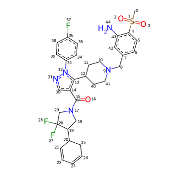 CS(=O)(=O)c1ccc(CN2CCC(c3c(C(=O)N4CC(C5C=CC=CC5)C(F)(F)C4)cnn3-c3ccc(F)cc3)CC2)cc1N